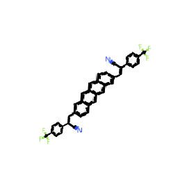 N#C/C(=C\c1ccc2cc3cc4cc(/C=C(\C#N)c5ccc(C(F)(F)F)cc5)ccc4cc3cc2c1)c1ccc(C(F)(F)F)cc1